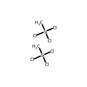 C[Si](Cl)(Cl)Cl.C[Si](Cl)(Cl)Cl